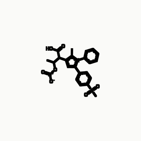 Cc1c(C(C(=O)O)C(C)O[N+](=O)[O-])cc(-c2ccc(S(C)(=O)=O)cc2)n1-c1ccccc1